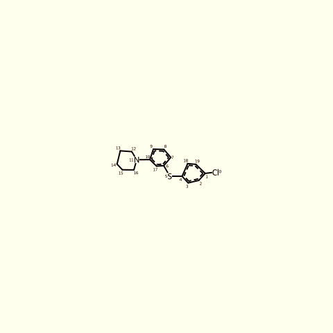 Clc1ccc(Sc2cccc(N3CCCCC3)c2)cc1